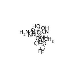 C[C@H](NP(=O)(OC[C@@]1(C#N)O[C@@H](c2ccc3c(N)ncnn23)[C@H](O)[C@@H]1O)Oc1ccccc1)C(=O)OC1CCC(F)(F)CC1